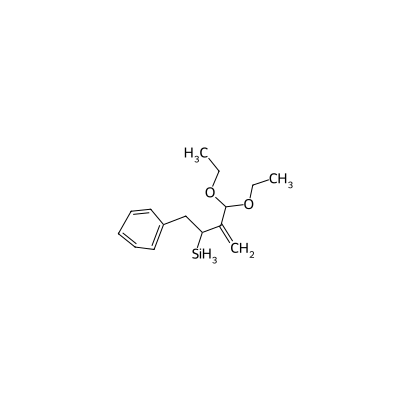 C=C(C([SiH3])Cc1ccccc1)C(OCC)OCC